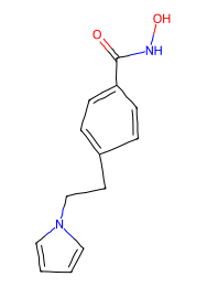 O=C(NO)c1ccc(CCn2cccc2)cc1